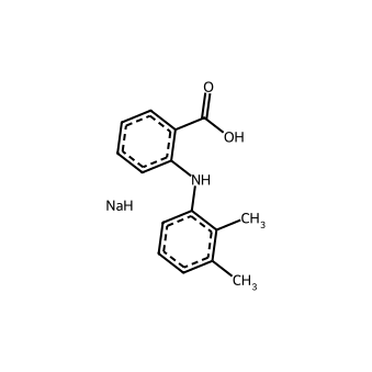 Cc1cccc(Nc2ccccc2C(=O)O)c1C.[NaH]